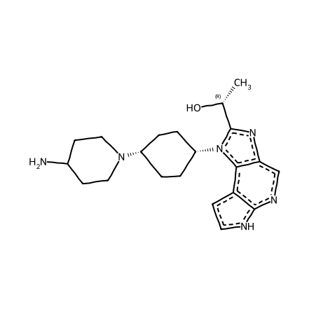 C[C@@H](O)c1nc2cnc3[nH]ccc3c2n1[C@H]1CC[C@@H](N2CCC(N)CC2)CC1